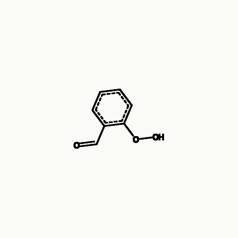 O=Cc1ccccc1OO